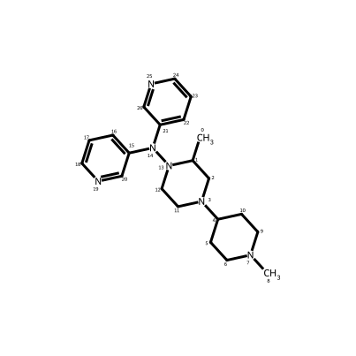 CC1CN(C2CCN(C)CC2)CCN1N(c1cccnc1)c1cccnc1